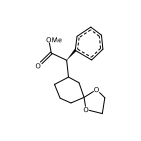 COC(=O)[C@@H](c1ccccc1)C1CCCC2(C1)OCCO2